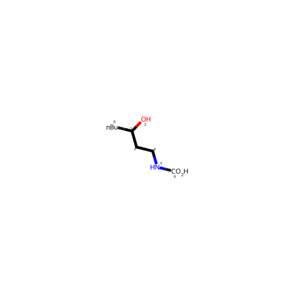 CCCCC(O)CCNC(=O)O